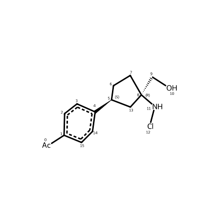 CC(=O)c1ccc([C@H]2CC[C@@](CO)(NCl)C2)cc1